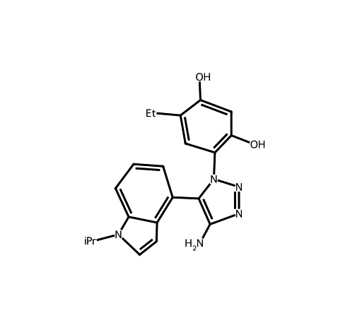 CCc1cc(-n2nnc(N)c2-c2cccc3c2ccn3C(C)C)c(O)cc1O